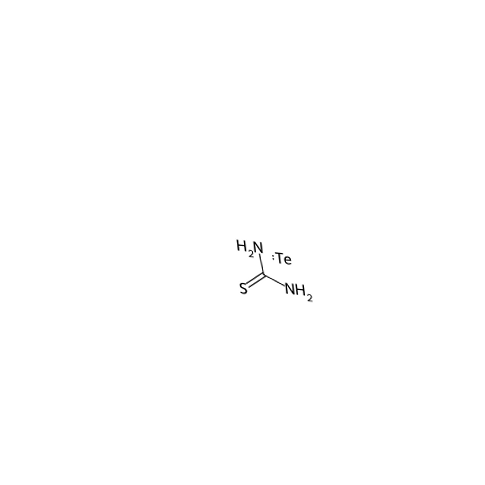 NC(N)=S.[Te]